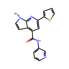 CC(C)n1ccc2c(C(=O)Nc3cccnc3)cc(-c3cccs3)nc21